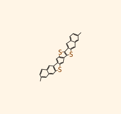 Cc1ccc2cc3c(cc2c1)sc1cc2c(cc13)sc1c3cc4ccc(C)cc4cc3sc21